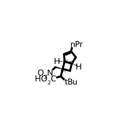 CCCC1=C[C@H]2[C@@H](C1)C[C@]2(C[N+](=O)[O-])C(C(=O)O)C(C)(C)C